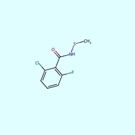 CSNC(=O)c1c(F)cccc1Cl